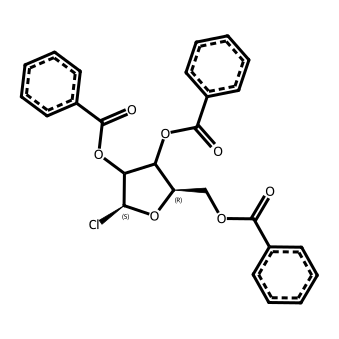 O=C(OC[C@H]1O[C@@H](Cl)C(OC(=O)c2ccccc2)C1OC(=O)c1ccccc1)c1ccccc1